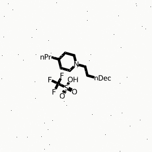 CCCCCCCCCCCCN1CCC(CCC)CC1.O=S(=O)(O)C(F)(F)F